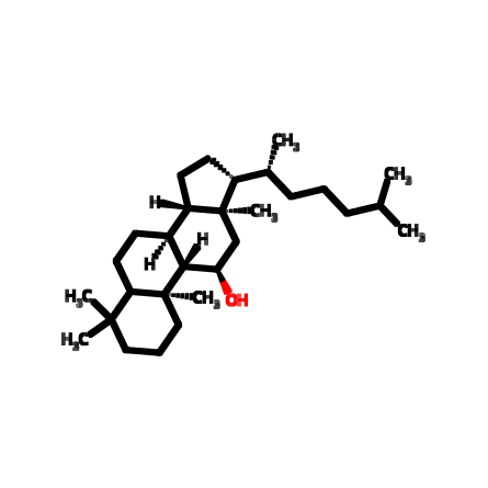 CC(C)CCC[C@@H](C)[C@H]1CC[C@H]2[C@@H]3CCC4C(C)(C)CCC[C@]4(C)[C@H]3[C@H](O)C[C@]12C